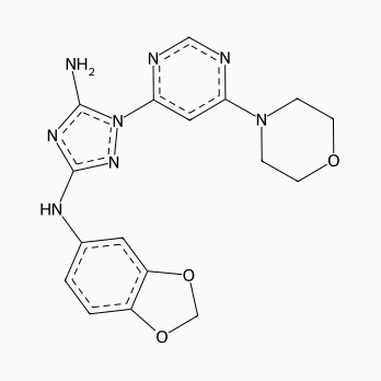 Nc1nc(Nc2ccc3c(c2)OCO3)nn1-c1cc(N2CCOCC2)ncn1